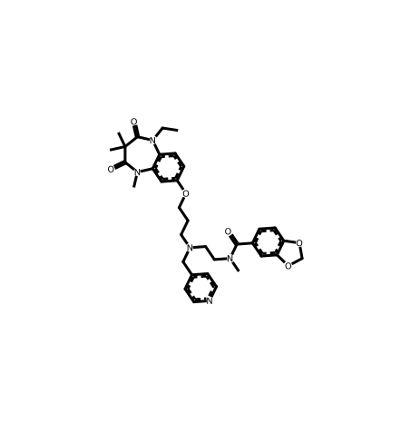 CCN1C(=O)C(C)(C)C(=O)N(C)c2cc(OCCCN(CCN(C)C(=O)c3ccc4c(c3)OCO4)Cc3ccncc3)ccc21